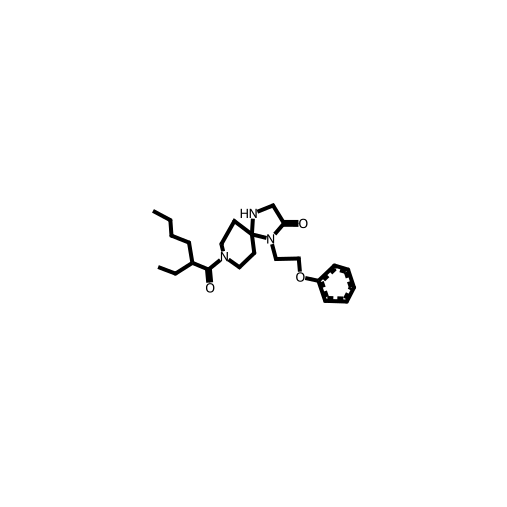 CCCCC(CC)C(=O)N1CCC2(CC1)NCC(=O)N2CCOc1ccccc1